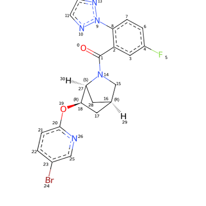 O=C(c1cc(F)ccc1-n1nccn1)N1C[C@H]2C[C@@H](Oc3ccc(Br)cn3)[C@@H]1C2